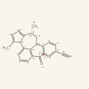 Cc1nnc2n1-c1cccc(C(N)=O)c1N(c1ccc(C#N)cc1)C[C@H]2C